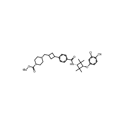 CC(C)(C)OC(=O)N1CCN(CC2CC(c3ccc(C(=O)N[C@H]4C(C)(C)[C@H](Oc5ccc(C#N)c(Cl)c5)C4(C)C)cc3)C2)CC1